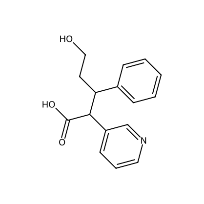 O=C(O)C(c1cccnc1)C(CCO)c1ccccc1